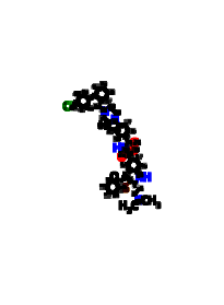 CN(C)CC[C@H](CSc1ccccc1)Nc1ccc(S(=O)(=O)NC(=O)c2ccc3c(c2)C[C@H]2CN(Cc4ccccc4-c4ccc(Cl)cc4)CCN32)cc1[N+](=O)[O-]